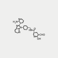 Nc1ncccc1-c1nc2cccnc2n1-c1ccc(CNC(=O)c2cnc(O)c(C=O)c2)cc1